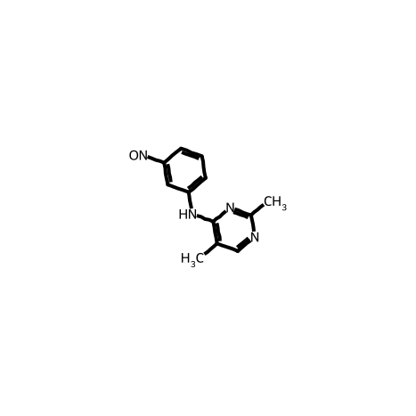 Cc1ncc(C)c(Nc2cccc(N=O)c2)n1